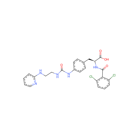 O=C(NCCNc1ccccn1)Nc1ccc(C[C@H](NC(=O)c2c(Cl)cccc2Cl)C(=O)O)cc1